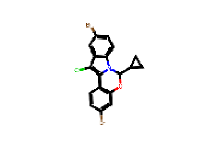 Clc1c2n(c3ccc(Br)cc13)C(C1CC1)Oc1cc(Br)ccc1-2